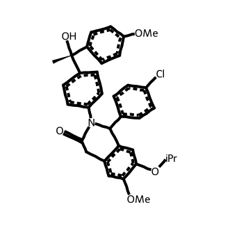 COc1ccc([C@@](C)(O)c2ccc(N3C(=O)Cc4cc(OC)c(OC(C)C)cc4C3c3ccc(Cl)cc3)cc2)cc1